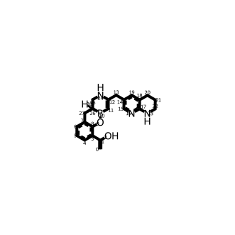 C=C(O)c1cccc2c1OB1C=C(Cc3cnc4c(c3)CCCN4)NC[C@H]1C2